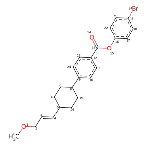 COCC=CC1CCC(c2ccc(C(=O)Oc3ccc(Br)cc3)cc2)CC1